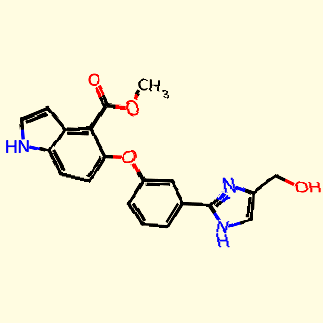 COC(=O)c1c(Oc2cccc(-c3nc(CO)c[nH]3)c2)ccc2[nH]ccc12